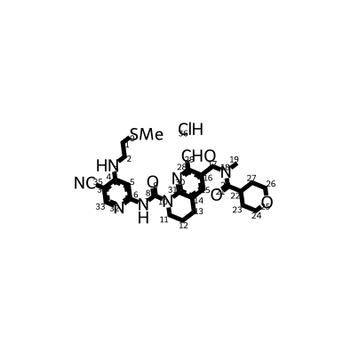 CSCCNc1cc(NC(=O)N2CCCc3cc(CN(C)C(=O)C4CCOCC4)c(C=O)nc32)ncc1C#N.Cl